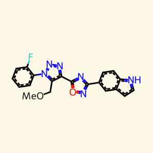 COCc1c(-c2nc(-c3ccc4[nH]ccc4c3)no2)nnn1-c1ccccc1F